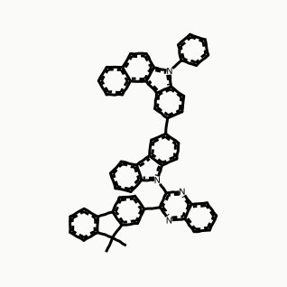 CC1(C)c2ccccc2-c2ccc(-c3nc4ccccc4nc3-n3c4ccccc4c4cc(-c5ccc6c(c5)c5c7ccccc7ccc5n6-c5ccccc5)ccc43)cc21